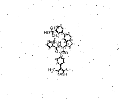 Cc1n[nH]c(C)c1-c1ccc(NC(=O)[C@@H](NC(=O)c2ccnn2C)[C@@H]2CCc3ccc(-c4ccnc(C(C)(C)O)c4)cc32)cc1